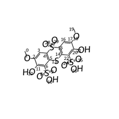 COc1cc2c(c(S(=O)(=O)O)c1O)Sc1c(cc(OC)c(O)c1S(=O)(=O)O)S2(=O)=O